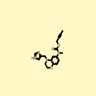 CC#CCOC(=O)N(C)c1ccc2c(c1)N(Cc1c[nH]cn1)CCO2